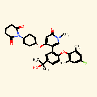 Cc1cc(F)cc(C)c1Oc1ccc(C(C)(C)O)cc1-c1cn(C)c(=O)cc1O[C@H]1CC[C@H](N2C(=O)CCCC2=O)CC1